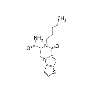 CCCCCN1C(=O)c2cc3sccc3n2CC1C(N)=O